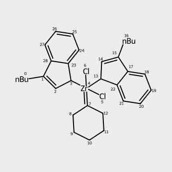 CCCCC1=C[CH]([Zr]([Cl])([Cl])(=[C]2CCCCC2)[CH]2C=C(CCCC)c3ccccc32)c2ccccc21